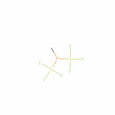 CP(S(F)(F)F)S(F)(F)F